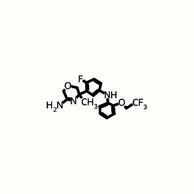 CC1(c2cc(Nc3ccccc3OCC(F)(F)F)ccc2F)COCC(N)=N1